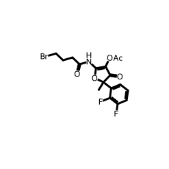 CC(=O)OC1=C(NC(=O)CCCBr)OC(C)(c2cccc(F)c2F)C1=O